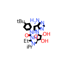 CCC(NC(=O)Nc1ccc(C(C)(C)C)cc1)N(C[C@H]1O[C@@H](n2ccc3c(N)ncnc32)[C@H](O)[C@@H]1O)C(C)C